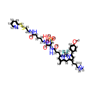 COc1ccc(-c2cc(CCC[N+](C)(C)C)c3n2[B-](F)(F)[N+]2=C(CCC(=O)NC(CS(=O)(=O)O)C(=O)NCCCCC(=O)NCCSSc4ccccn4)C=C(C)C2=C3)cc1